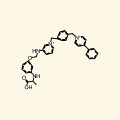 CC(Nc1cccc(OCNc2ccc[n+](Cc3ccc(C[n+]4ccc(-c5ccccc5)cc4)cc3)c2)c1)C(=O)O